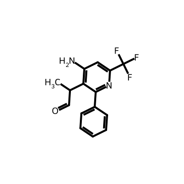 CC(C=O)c1c(N)cc(C(F)(F)F)nc1-c1ccccc1